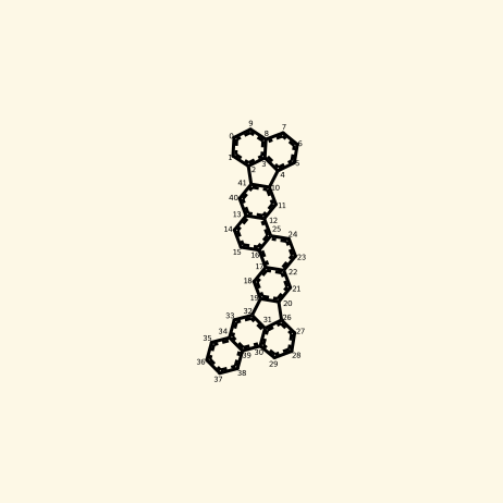 c1cc2c3c(cccc3c1)-c1cc3c(ccc4c5cc6c(cc5ccc34)-c3cccc4c3c-6cc3ccccc34)cc1-2